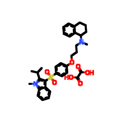 CC(C)c1c(S(=O)(=O)c2ccc(OCCCN(C)C3CCCc4ccccc43)cc2)c2ccccc2n1C.O=C(O)C(=O)O